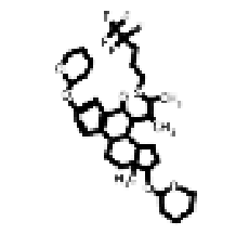 CC(SCCCC(F)(F)C(F)(F)F)C(C)C1C(=O)c2cc(OC3CCCCO3)ccc2C2CCC3(C)C(OC4CCCCO4)CCC3C21